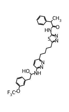 CC(C(=O)Nc1nnc(CCCCc2ccc(NC(O)Cc3cccc(OC(F)(F)F)c3)nn2)s1)c1ccccc1